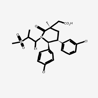 CCC(C(C)S(C)(=O)=O)N1C(=O)[C@@](C)(CC(=O)O)C[C@H](c2cccc(Cl)c2)[C@H]1c1ccc(Cl)cc1